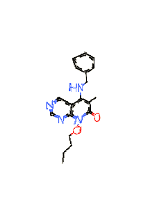 CCCCOn1c(=O)c(C)c(NCc2ccccc2)c2cncnc21